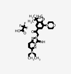 CCN(CC)c1ccc2nn(CC(=O)c3cc(N4CCOCC4)c(OC)c(C(C)(C)C)c3)c(=N)n2n1.O=C(O)C(F)(F)F